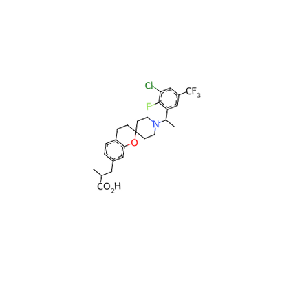 CC(Cc1ccc2c(c1)OC1(CC2)CCN(C(C)c2cc(C(F)(F)F)cc(Cl)c2F)CC1)C(=O)O